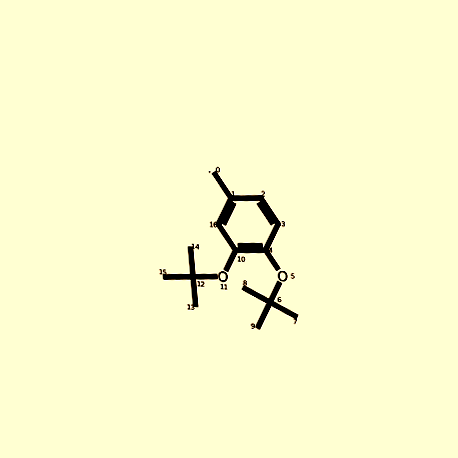 [CH2]c1ccc(OC(C)(C)C)c(OC(C)(C)C)c1